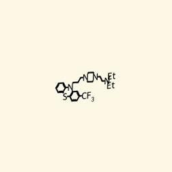 CCN(CC)CCN1CCN(CCCN2c3ccccc3Sc3ccc(C(F)(F)F)cc32)CC1